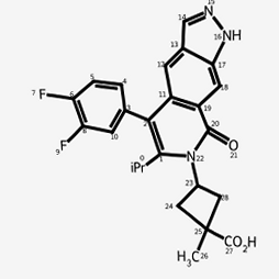 CC(C)c1c(-c2ccc(F)c(F)c2)c2cc3cn[nH]c3cc2c(=O)n1C1CC(C)(C(=O)O)C1